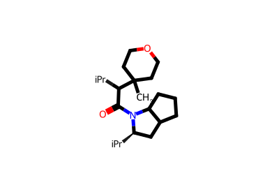 CC(C)C(C(=O)N1C2CCCC2C[C@H]1C(C)C)C1(C)CCOCC1